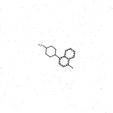 [CH2]C1CCC(c2ccc(F)c3ccccc23)CC1